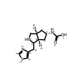 O=C(O)N[C@H]1C[C@H]2CNC(Cc3cscn3)[C@H]2C1